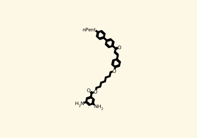 CCCCCc1ccc(-c2ccc(C(=O)/C=C/c3ccc(OCCCCCCCOC(=O)c4cc(N)cc(N)c4)cc3)cc2)cc1